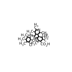 Cc1nc(C)c2c(c(Nc3c(C)c(C)c(C)c(Cl)c3C)nc3c(C)c(C(=O)O)c(C)c(C)c32)c1C